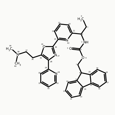 CCC(NC(=O)OCC1c2ccccc2-c2ccccc21)c1cccc(-c2nc(-c3ccccn3)c(CCN(C)C)o2)n1